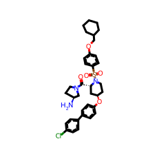 N[C@H]1CCN(C(=O)[C@H]2C[C@H](Oc3ccc(-c4ccc(Cl)cc4)cc3)CCN2S(=O)(=O)c2ccc(OCC3CCCCC3)cc2)C1